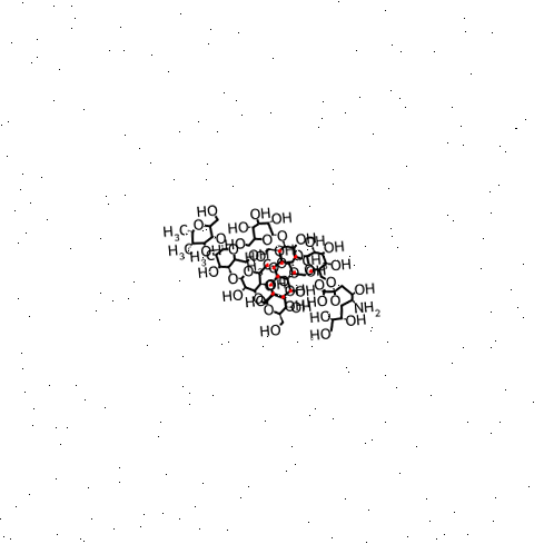 CC1C(O)[C@H](O[C@@H]2OC(CO)[C@H](O)C(O)[C@@H]2O)[C@H](CO)O[C@H]1O[C@@H]1C(O)[C@H](O)C(CO)O[C@@H]1OCC1O[C@@H](O[C@@H]2C(CO)O[C@@H](O[C@@H]3C(CO)O[C@@H](C)[C@@H](C)C3O)[C@@H](C)C2O)[C@H](O)C(O[C@H]2O[C@H](CO)[C@@H](O)C(O)C2O[C@@H]2OC(CO)[C@@H](O[C@@H]3OC(CO[C@]4(C(=O)O)C[C@@H](O)[C@@H](N)C([C@H](O)[C@H](O)CO)O4)[C@H](O)C(O)[C@@H]3O)C(O)[C@@H]2C)[C@@H]1O